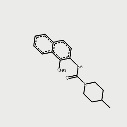 CC1CCN(C(=O)Nc2ccc3ccccc3c2C=O)CC1